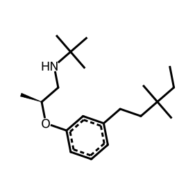 CCC(C)(C)CCc1cccc(O[C@@H](C)CNC(C)(C)C)c1